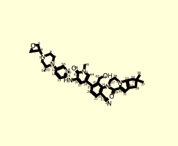 C[C@H]1CN(C2COC2)CCN1c1ccc(Nc2cc(-c3ccc(C#N)c(N4CCn5c(cc6c5CC(C)(C)C6)C4=O)c3CO)cn(C)c2=O)nc1